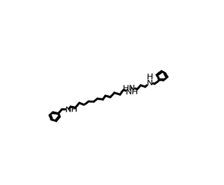 c1ccc(CNCCCCCCCCCCCCCNNCCCNCc2ccccc2)cc1